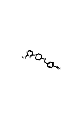 COc1nccc(N2CCC(NCc3ccc(C#N)cc3)CC2)n1